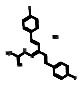 Cl.N=C(N)NN=C(/C=C/c1ccc(F)cc1)/C=C/c1ccc(F)cc1